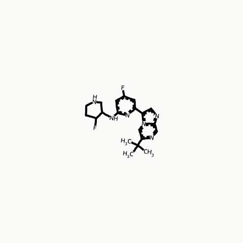 CC(C)(C)c1cn2c(-c3cc(F)cc(NC4CNCCC4F)n3)cnc2cn1